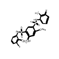 COc1cc(O)c(S(=O)(=O)Nc2cccc(F)c2C)cc1S(=O)(=O)Nc1cccc(F)c1C